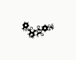 Cc1ccccc1NC(=O)c1cnccc1CN1C(=O)N(c2ccc(OC(F)(F)F)cc2)C(=O)C1C